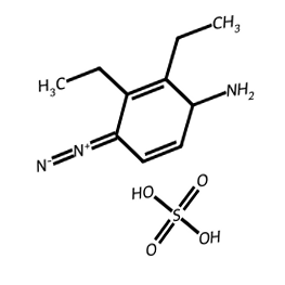 CCC1=C(CC)C(N)C=CC1=[N+]=[N-].O=S(=O)(O)O